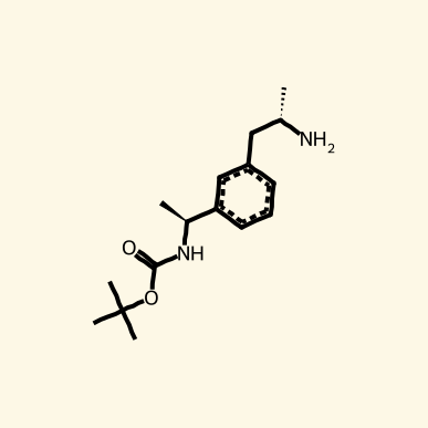 C[C@H](N)Cc1cccc([C@H](C)NC(=O)OC(C)(C)C)c1